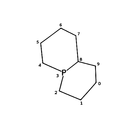 C1CCP2CCCCC2C1